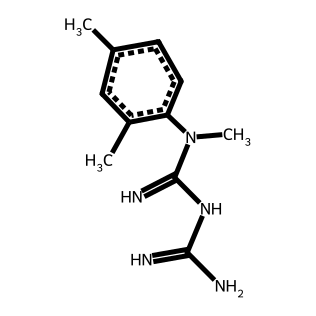 Cc1ccc(N(C)C(=N)NC(=N)N)c(C)c1